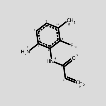 C=CC(=O)Nc1c(N)ccc(C)c1F